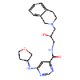 O=C(NCC(O)CN1CCc2ccccc2C1)c1cc(N[C@H]2CCOC2)ncn1